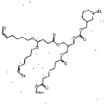 CC/C=C\CCCCOC(CCC(=O)OCC(COC(=O)CCCCCC(=O)OCCCCCCCCC)COC(=O)OCC1CCCN(CC)C1)OCCCC/C=C\CC